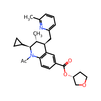 CC(=O)N1c2ccc(C(=O)O[C@@H]3CCOC3)cc2[C@H](Cc2cccc(C)n2)[C@@H](C)[C@@H]1C1CC1